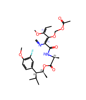 C=N/C(C(=O)N[C@@H](C)C(=O)O[C@@H](C)[C@H](c1ccc(OC)c(F)c1)C(C)C)=C(OCOC(C)=O)\C(=C/C)OC